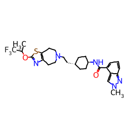 CC(Oc1nc2c(s1)CCN(CC[C@H]1CC[C@H](NC(=O)c3cccc4nn(C)cc34)CC1)CC2)C(F)(F)F